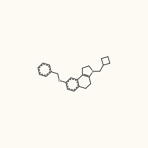 c1ccc(COc2ccc3c(c2)C2=C(CC3)N(CC3CCC3)CC2)cc1